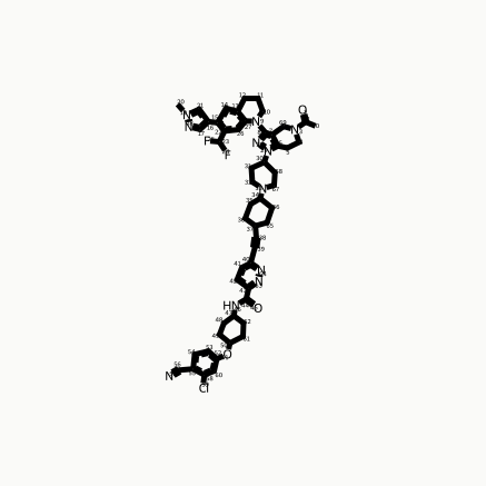 CC(=O)N1CCc2c(c(N3CCCc4cc(-c5cnn(C)c5)c(C(F)F)cc43)nn2C2CCN(C3CCC(C#Cc4ccc(C(=O)NC5CCC(Oc6ccc(C#N)c(Cl)c6)CC5)nn4)CC3)CC2)C1